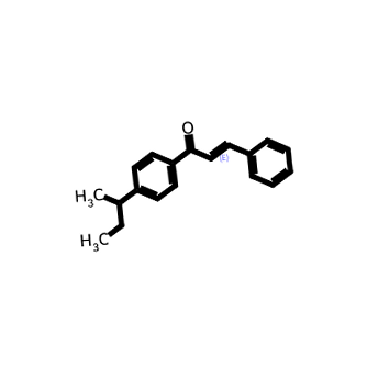 CCC(C)c1ccc(C(=O)/C=C/c2ccccc2)cc1